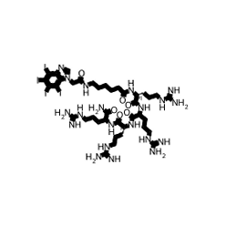 N=C(N)NCCCC(NC(=O)[C@@H](CCCNC(=N)N)NC(=O)C(CCCNC(=N)N)NC(=O)[C@@H](CCCNC(=N)N)NC(=O)CCCCCNC(=O)Cn1cnc2c(I)c(I)c(I)c(I)c21)C(N)=O